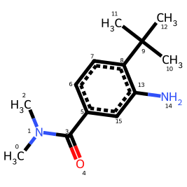 CN(C)C(=O)c1ccc(C(C)(C)C)c(N)c1